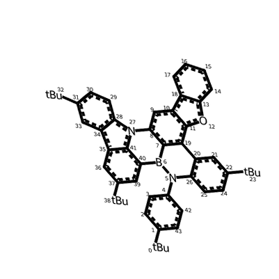 CC(C)(C)c1ccc(N2B3c4c(cc5c(oc6ccccc65)c4-c4cc(C(C)(C)C)ccc42)-n2c4ccc(C(C)(C)C)cc4c4cc(C(C)(C)C)cc3c42)cc1